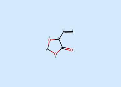 C=CC1OCOC1=O